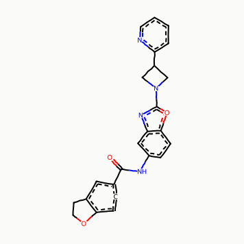 O=C(Nc1ccc2oc(N3CC(c4ccccn4)C3)nc2c1)c1ccc2c(c1)CCO2